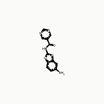 Nc1ccc2nc(NC(=O)c3cncnc3)sc2c1